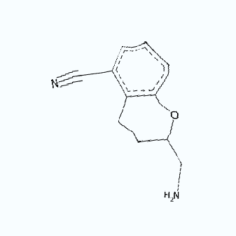 N#Cc1cccc2c1CCC(CN)O2